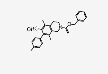 C=C(OCc1ccccc1)N1CCc2c(C)c(C=O)c(-c3ccc(C)cc3)c(C)c2C1